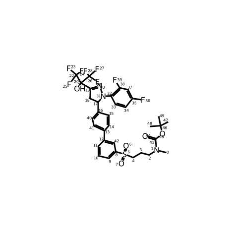 CN(CCCS(=O)(=O)c1cccc(-c2ccc(C3CC(C(O)(C(F)(F)F)C(F)(F)F)=NN3c3ccc(F)cc3F)cc2)c1)C(=O)OC(C)(C)C